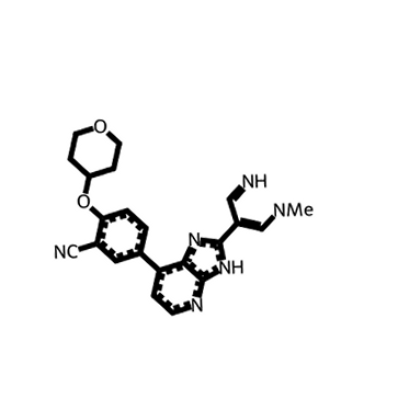 CN/C=C(\C=N)c1nc2c(-c3ccc(OC4CCOCC4)c(C#N)c3)ccnc2[nH]1